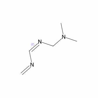 C=N/C=N\CN(C)C